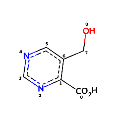 O=C(O)c1ncncc1CO